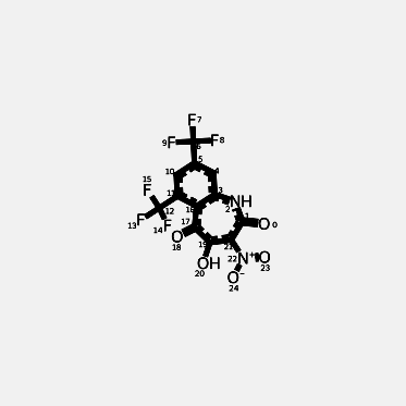 O=c1[nH]c2cc(C(F)(F)F)cc(C(F)(F)F)c2c(=O)c(O)c1[N+](=O)[O-]